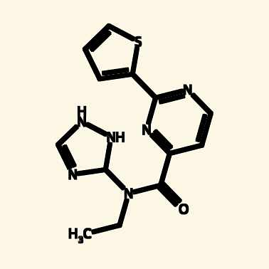 CCN(C(=O)c1ccnc(-c2cccs2)n1)C1N=CNN1